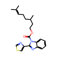 CC(C)=CCCC(C)CCOC(=O)n1c(-c2cscn2)nc2ccccc21